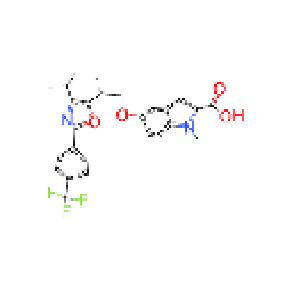 CC(C)c1nc(-c2ccc(C(F)(F)F)cc2)oc1[C@H](C)COc1ccc2c(c1)cc(C(=O)O)n2C